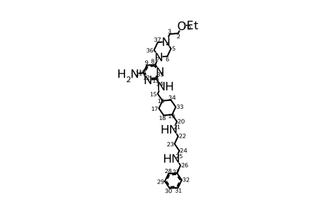 CCOCCN1CCN(c2cc(N)nc(NCC3CCC(CNCCCNCc4ccccc4)CC3)n2)CC1